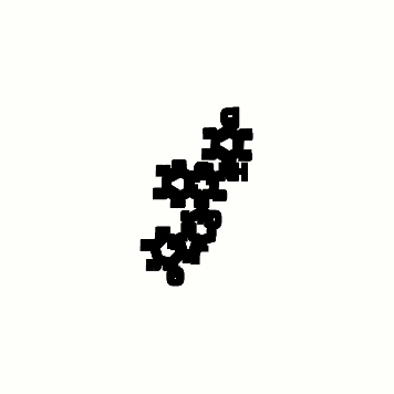 Cc1cc2c(n1CC(=O)N(CC(=O)Nc1ccc(Cl)cc1)c1ccccc1)CCCC2=O